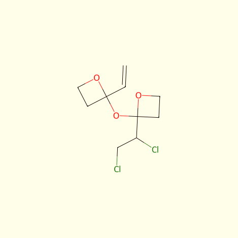 C=CC1(OC2(C(Cl)CCl)CCO2)CCO1